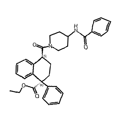 CCOC(=O)[C@@]1(c2ccccc2)CC[C@H](C(=O)N2CCC(NC(=O)c3ccccc3)CC2)c2ccccc21